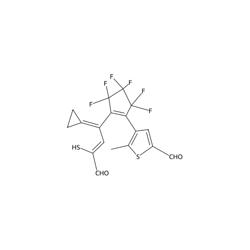 Cc1sc(C=O)cc1C1=C(C(/C=C(\S)C=O)=C2CC2)C(F)(F)C(F)(F)C1(F)F